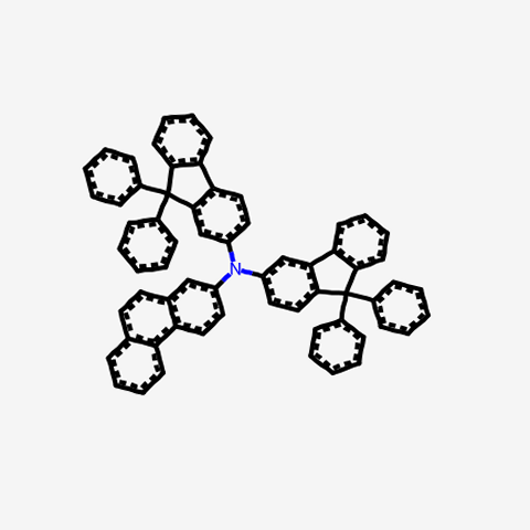 c1ccc(C2(c3ccccc3)c3ccccc3-c3cc(N(c4ccc5c(c4)C(c4ccccc4)(c4ccccc4)c4ccccc4-5)c4ccc5c(ccc6ccccc65)c4)ccc32)cc1